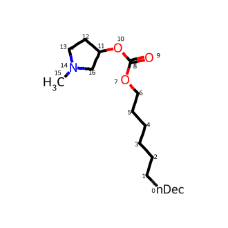 CCCCCCCCCCCCCCCCOC(=O)OC1C[CH]N(C)C1